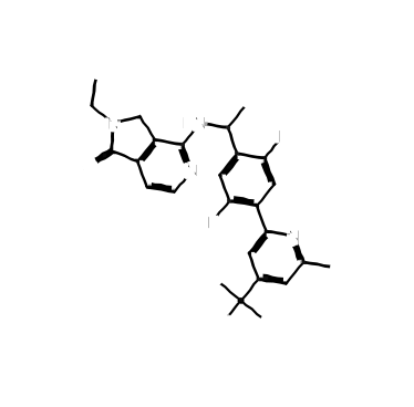 CCN1Cc2c(ccnc2NC(C)c2cc(F)c(-c3cc(C(C)(C)F)cc(C)n3)cc2F)C1=O